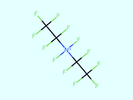 FC(F)(F)C(F)(F)[N+](F)(F)C(F)(F)C(F)(F)F